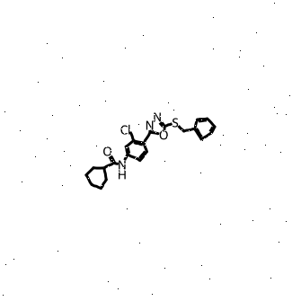 O=C(Nc1ccc(-c2nnc(SCc3ccccc3)o2)c(Cl)c1)C1CCCCC1